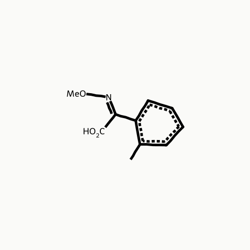 CO/N=C(\C(=O)O)c1ccccc1C